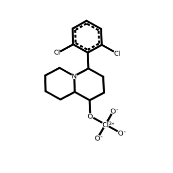 [O-][Cl+3]([O-])([O-])OC1CCC(c2c(Cl)cccc2Cl)N2CCCCC12